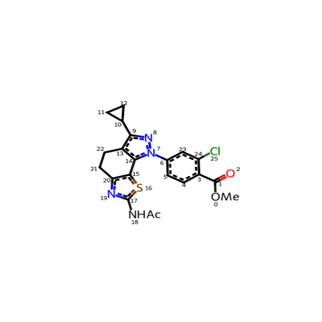 COC(=O)c1ccc(-n2nc(C3CC3)c3c2-c2sc(NC(C)=O)nc2CC3)cc1Cl